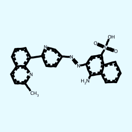 Cc1ccc2cccc(-c3ccc(N=Nc4cc(S(=O)(=O)O)c5ccccc5c4N)cn3)c2n1